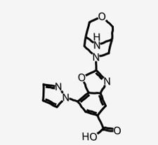 O=C(O)c1cc(-n2cccn2)c2oc(N3CC4COCC(C3)N4)nc2c1